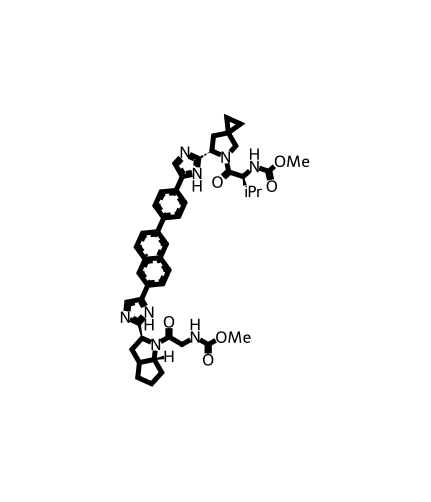 COC(=O)NCC(=O)N1[C@@H]2CCCC2C[C@H]1c1ncc(-c2ccc3cc(-c4ccc(-c5cnc([C@@H]6CC7(CC7)CN6C(=O)[C@@H](NC(=O)OC)C(C)C)[nH]5)cc4)ccc3c2)[nH]1